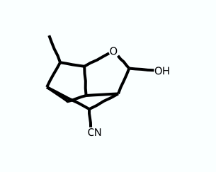 CC1C2CC3C1OC(O)C3C2C#N